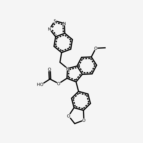 COc1ccc2c(-c3ccc4c(c3)OCO4)c(OC(=O)O)n(Cc3ccc4nsnc4c3)c2c1